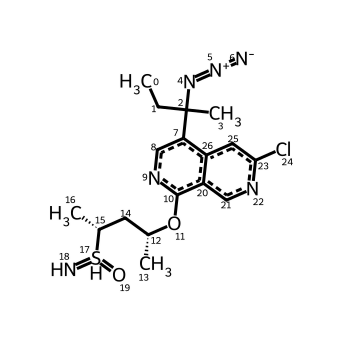 CCC(C)(N=[N+]=[N-])c1cnc(O[C@H](C)C[C@@H](C)[SH](=N)=O)c2cnc(Cl)cc12